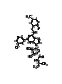 Cc1ccc(F)c(CNc2nc(-c3cncc(Cl)c3)nc3c2ncn3[C@@H]2O[C@H](C(=O)NC(C)C)[C@@H](O)[C@H]2O)c1